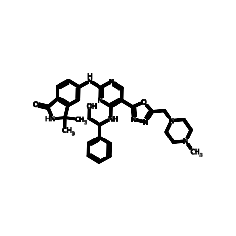 CN1CCN(Cc2nnc(-c3cnc(Nc4ccc5c(c4)C(C)(C)NC5=O)nc3NC(CO)c3ccccc3)o2)CC1